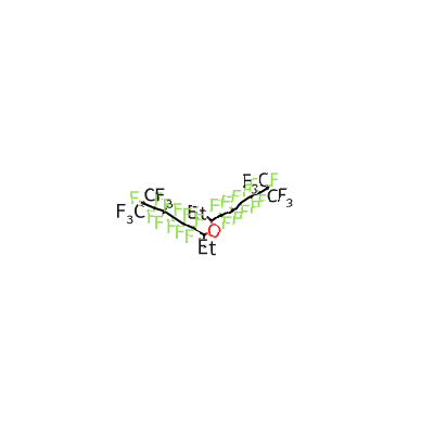 CCC(OC(CC)C(F)(F)C(F)(F)C(F)(F)C(F)(F)C(F)(F)C(F)(C(F)(F)F)C(F)(F)F)C(F)(F)C(F)(F)C(F)(F)C(F)(F)C(F)(F)C(F)(C(F)(F)F)C(F)(F)F